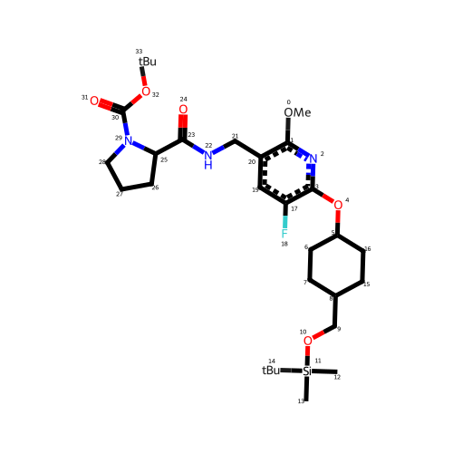 COc1nc(OC2CCC(CO[Si](C)(C)C(C)(C)C)CC2)c(F)cc1CNC(=O)C1CCCN1C(=O)OC(C)(C)C